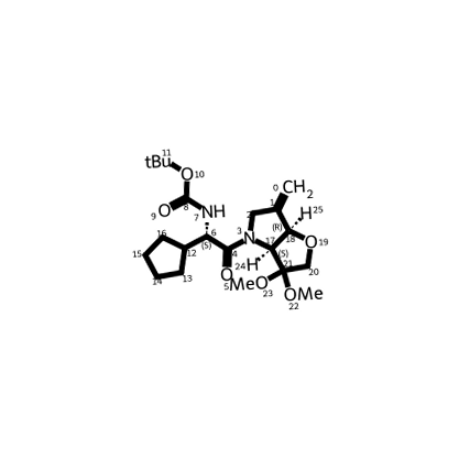 C=C1CN(C(=O)[C@@H](NC(=O)OC(C)(C)C)C2CCCC2)[C@H]2[C@@H]1OCC2(OC)OC